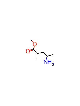 COC(=O)[C@@H](C)CC(C)N